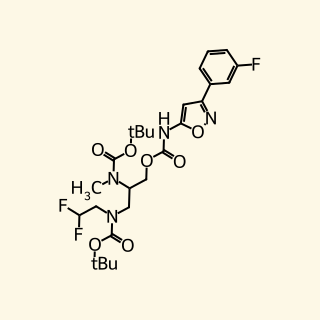 CN(C(=O)OC(C)(C)C)C(COC(=O)Nc1cc(-c2cccc(F)c2)no1)CN(CC(F)F)C(=O)OC(C)(C)C